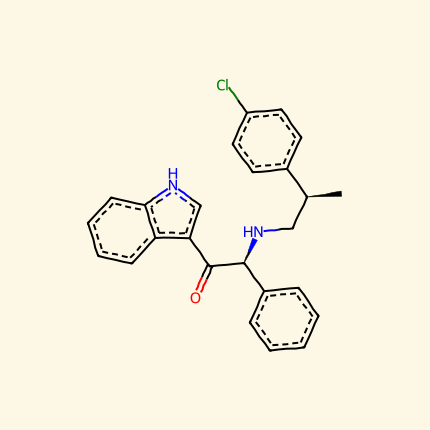 C[C@@H](CN[C@H](C(=O)c1c[nH]c2ccccc12)c1ccccc1)c1ccc(Cl)cc1